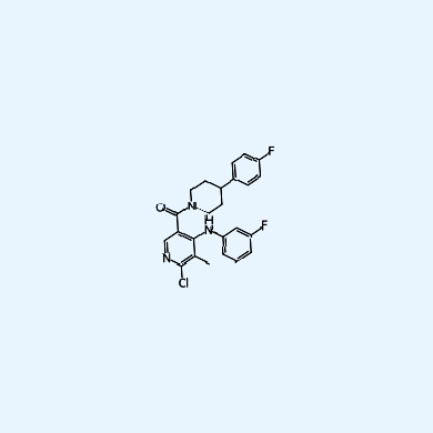 Cc1c(Cl)ncc(C(=O)N2CCC(c3ccc(F)cc3)CC2)c1Nc1cccc(F)c1